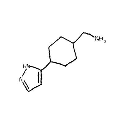 NCC1CCC(c2ccn[nH]2)CC1